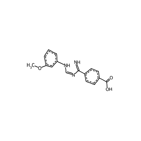 COc1cccc(N/C=N\C(=N)c2ccc(C(=O)O)cc2)c1